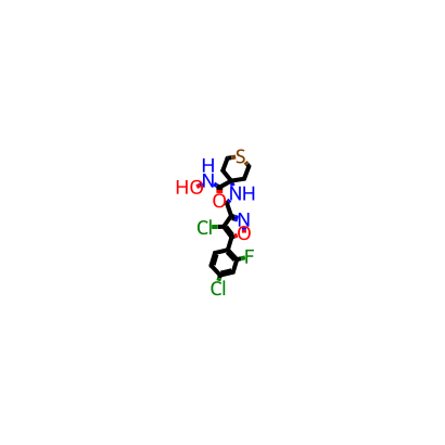 O=C(NO)C1(NCc2noc(-c3ccc(Cl)cc3F)c2Cl)CCSCC1